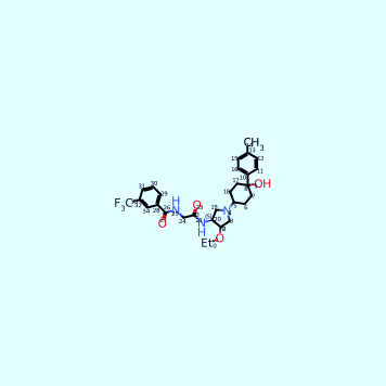 CCO[C@@H]1CN(C2CCC(O)(c3ccc(C)cc3)CC2)C[C@@H]1NC(=O)CNC(=O)c1cccc(C(F)(F)F)c1